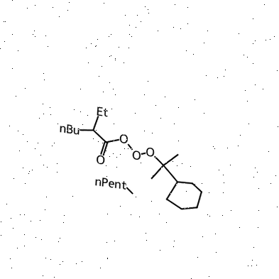 CCCCC(CC)C(=O)OOOC(C)(C)C1CCCCC1.CCCCCC